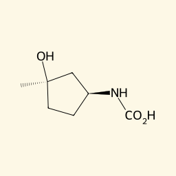 C[C@@]1(O)CC[C@H](NC(=O)O)C1